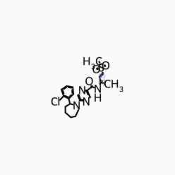 C[C@H](/C=C/S(C)(=O)=O)NC(=O)c1cnc(N2CCCCCC2c2ccccc2Cl)cn1